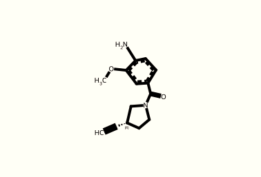 C#C[C@H]1CCN(C(=O)c2ccc(N)c(OC)c2)C1